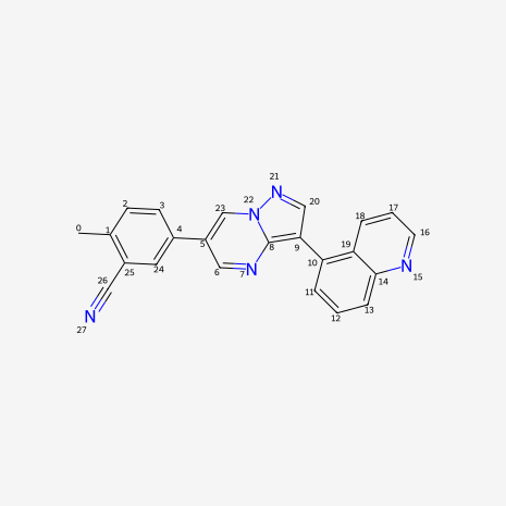 Cc1ccc(-c2cnc3c(-c4cccc5ncccc45)cnn3c2)cc1C#N